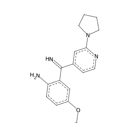 CC(C)Oc1ccc(N)c(C(=N)c2ccnc(N3CCCC3)c2)c1